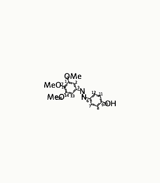 COc1cc(/N=N/c2ccc(O)cc2)cc(OC)c1OC